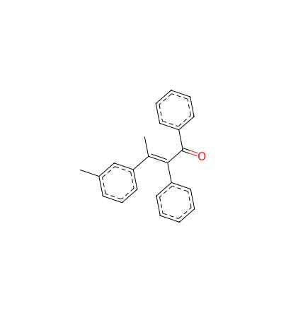 CC(=C(C(=O)c1ccccc1)c1ccccc1)c1cccc(C)c1